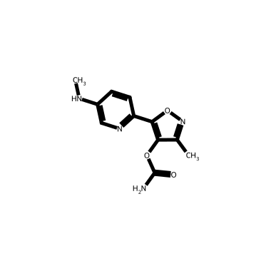 CNc1ccc(-c2onc(C)c2OC(N)=O)nc1